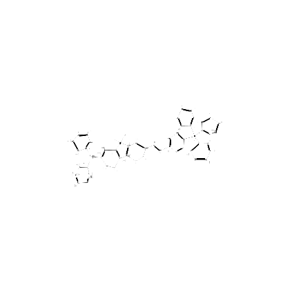 CC1(C)C2=C(CCC(/C=C/c3ccc(C(c4ccccc4)(c4ccccc4)c4ccccc4)cc3)=C2)C2=C1C=C(N(c1ccccc1)C1CN=CC=N1)CC2